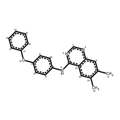 Cc1cc2ncnc(Nc3ccc(Oc4ccccc4)cc3)c2cc1C